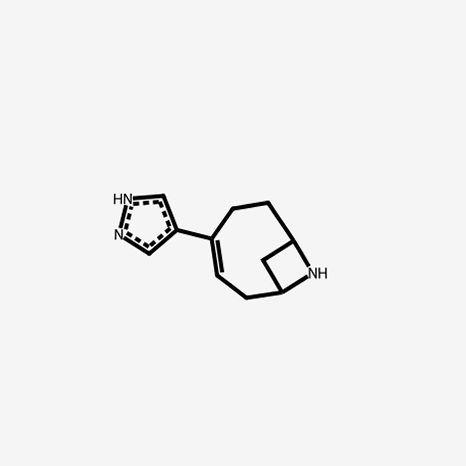 C1=C(/c2cn[nH]c2)CCC2CC(C/1)N2